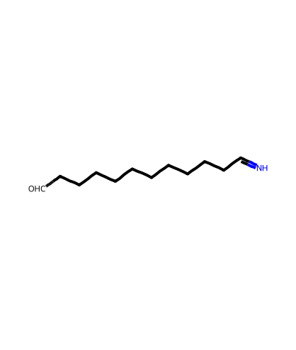 N=CCCCCCCCCCCC=O